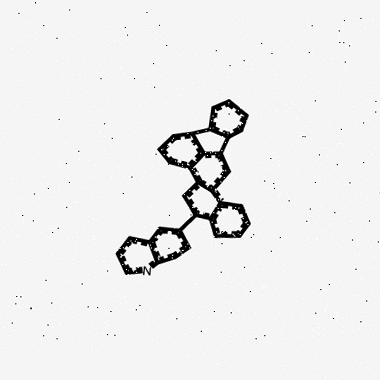 c1ccc2c(c1)-c1cccc3c1c-2cc1c2ccccc2c(-c2ccc4ncccc4c2)cc31